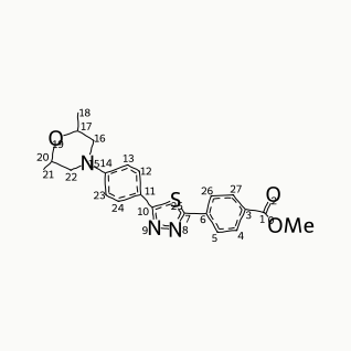 COC(=O)c1ccc(-c2nnc(-c3ccc(N4CC(C)OC(C)C4)cc3)s2)cc1